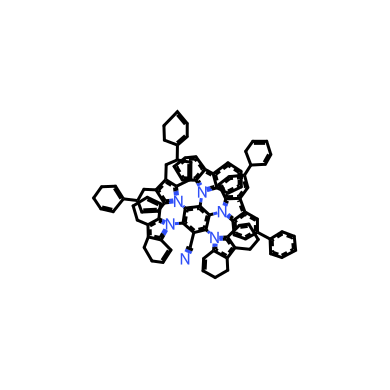 N#Cc1c(-n2c3c(c4c2C=CCC4)CCC=C3)c(-n2c3c(c4c2C=CC(C2=CC=CCC2)C4)CC(C2=CCCC=C2)C=C3)c(-n2c3ccccc3c3ccccc32)c(-n2c3ccc(-c4ccccc4)cc3c3cc(C4C=CC=CC4)ccc32)c1-n1c2c(c3c1C=CCC3)CCC=C2